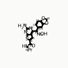 CC(C)NC(=O)c1cc2c(C(=NO)c3ccc4c(c3)OCO4)nc(N)nc2s1